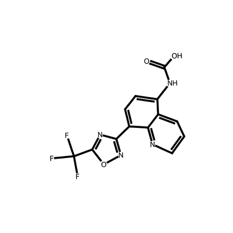 O=C(O)Nc1ccc(-c2noc(C(F)(F)F)n2)c2ncccc12